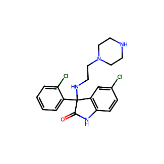 O=C1Nc2ccc(Cl)cc2C1(NCCN1CCNCC1)c1ccccc1Cl